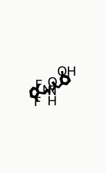 O=C(Cc1cccc(O)c1)N/N=C/c1c(F)cccc1F